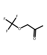 CC(=O)COC(F)(F)F